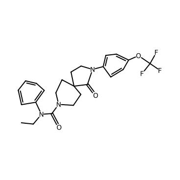 CCN(C(=O)N1CCC2(CC1)CCN(c1ccc(OC(F)(F)F)cc1)C2=O)c1ccccc1